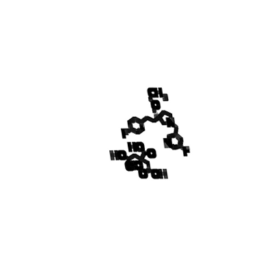 CCOC[C@]1(CCc2ccc(F)cc2)CCN(Cc2cncc(F)c2)C1.O=C(O)CC(O)(CC(=O)O)C(=O)O